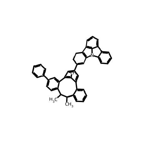 Cc1c2cc(C3=Cc4c(c5cccc6c7ccccc7n4c56)CC3)cc1-c1cc(-c3ccccc3)ccc1C(C)C(C)c1ccccc1-2